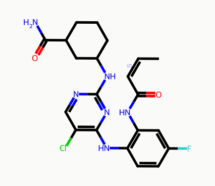 C/C=C\C(=O)Nc1cc(F)ccc1Nc1nc(NC2CCCC(C(N)=O)C2)ncc1Cl